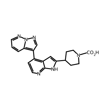 O=C(O)N1CCC(c2cc3c(-c4cnn5ncccc45)ccnc3[nH]2)CC1